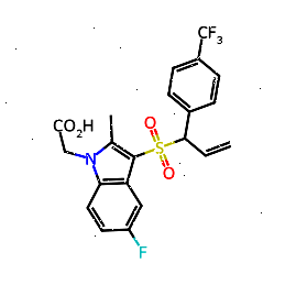 C=CC(c1ccc(C(F)(F)F)cc1)S(=O)(=O)c1c(C)n(CC(=O)O)c2ccc(F)cc12